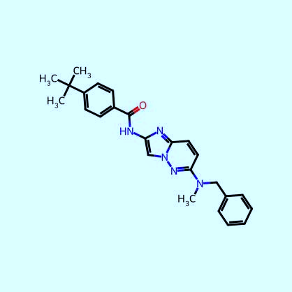 CN(Cc1ccccc1)c1ccc2nc(NC(=O)c3ccc(C(C)(C)C)cc3)cn2n1